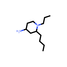 CCCCC1CC(N)CCN1CCC